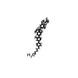 CCCCCCc1ccc(-c2ccc(-c3cc(F)c(C(F)(F)Oc4cc(F)c(OC(F)=C(F)F)c(F)c4)c(F)c3)c(F)c2)cc1